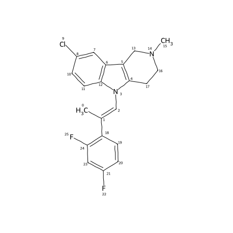 CC(=Cn1c2c(c3cc(Cl)ccc31)CN(C)CC2)c1ccc(F)cc1F